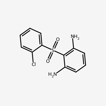 Nc1cccc(N)c1S(=O)(=O)c1ccccc1Cl